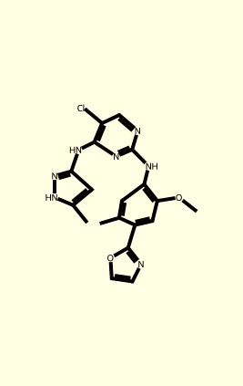 COc1cc(-c2ncco2)c(C)cc1Nc1ncc(Cl)c(Nc2cc(C)[nH]n2)n1